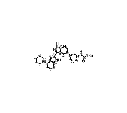 CC(C)(C)C(=O)Nc1cncc(-c2cnc3[nH]nc(-c4cc5c(N6CCCCC6)ccnc5[nH]4)c3c2)c1